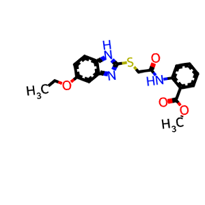 CCOc1ccc2[nH]c(SCC(=O)Nc3ccccc3C(=O)OC)nc2c1